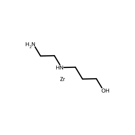 NCCNCCCO.[Zr]